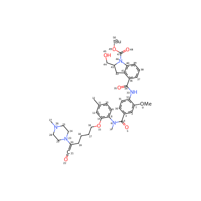 COc1cc(C(=O)N(C)c2ccc(C)cc2OCCCCC(=C=O)N2CCN(C)CC2)ccc1NC(=O)c1cccc2c1CC(CO)N2C(=O)OC(C)(C)C